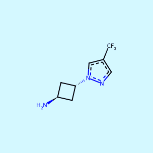 N[C@H]1C[C@H](n2cc(C(F)(F)F)cn2)C1